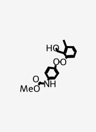 COC(=O)Nc1ccc(OOc2cccc(C)c2CO)cc1